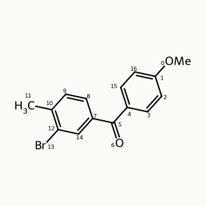 COc1ccc(C(=O)c2ccc(C)c(Br)c2)cc1